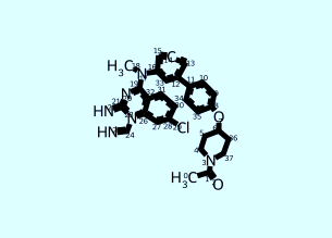 CC(=O)N1CCC(Oc2ccc(-c3cccc(N(C)c4nc(=N)n(C=N)c5cc(Cl)ccc45)c3)cc2)CC1